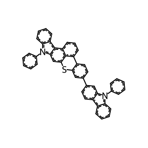 c1ccc(-n2c3ccccc3c3ccc(-c4ccc5c(c4)Sc4cc6c(c7cccc-5c47)c4ccccc4n6-c4ccccc4)cc32)cc1